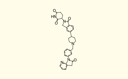 O=C1CCC(N2Cc3cc(C4CCN(Cc5cccc(N6C(=O)Cc7cccnc76)c5)CC4)ccc3C2=O)C(=O)N1